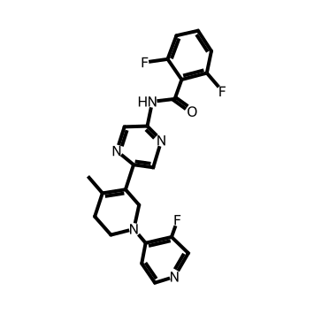 CC1=C(c2cnc(NC(=O)c3c(F)cccc3F)cn2)CN(c2ccncc2F)CC1